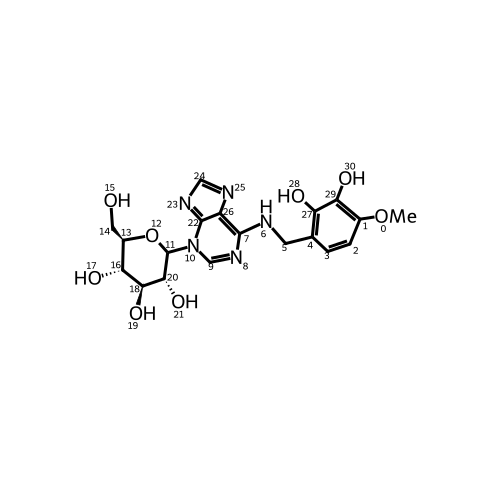 COc1ccc(CNc2ncn(C3O[C@H](CO)[C@@H](O)[C@H](O)[C@H]3O)c3ncnc2-3)c(O)c1O